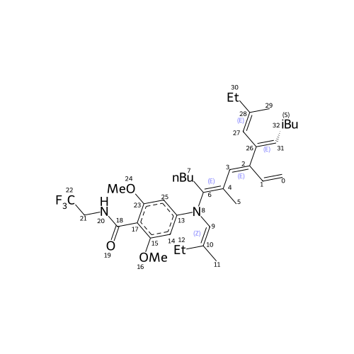 C=CC(=C\C(C)=C(/CCCC)N(/C=C(/C)CC)c1cc(OC)c(C(=O)NCC(F)(F)F)c(OC)c1)/C(/C=C(\C)CC)=C/[C@@H](C)CC